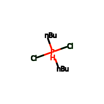 CCCC[PH](Cl)(Cl)CCCC